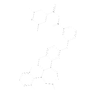 CC1CN(C(=N)NC(=O)c2cccc(Nc3ncc4c(n3)C3=CN=C(Cl)C=C(c5c(F)cccc5F)C3=CC4)c2)CC(C)N1